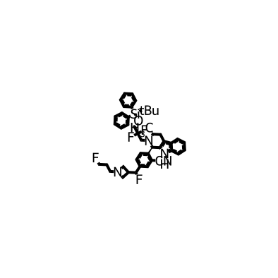 C[C@@H]1Cc2c([nH]c3ccccc23)[C@@H](c2ccc(C(F)C3CN(CCCF)C3)cc2C#N)N1CC(F)(F)CO[Si](c1ccccc1)(c1ccccc1)C(C)(C)C